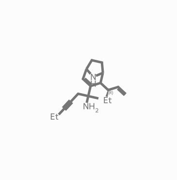 C=C[C@@H](CC)C1C(C(C)(N)CC#CCC)=CC2CCC1N2